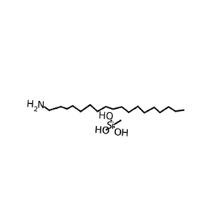 CCCCCCCCCCCCCCCCCCN.C[Si](O)(O)O